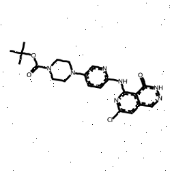 CC(C)(C)OC(=O)N1CCN(c2ccc(Nc3nc(Cl)cc4cn[nH]c(=O)c34)nc2)CC1